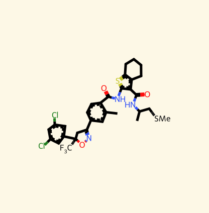 CSCC(C)NC(=O)c1c(NC(=O)c2ccc(C3=NOC(c4cc(Cl)cc(Cl)c4)(C(F)(F)F)C3)cc2C)sc2c1CCCC2